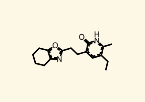 CCc1cc(CCc2nc3c(o2)CCCC3)c(=O)[nH]c1C